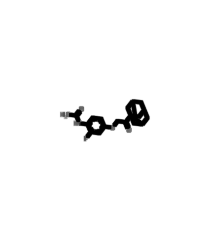 CC(=O)Nc1ccc(OCC(=O)C23CC4CC(CC(C4)C2)C3)cc1F